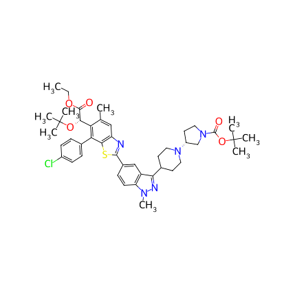 CCOC(=O)[C@@H](OC(C)(C)C)c1c(C)cc2nc(-c3ccc4c(c3)c(C3CCN([C@@H]5CCN(C(=O)OC(C)(C)C)C5)CC3)nn4C)sc2c1-c1ccc(Cl)cc1